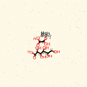 O=C(O)C(=O)O.O=C(O)C(O)C(O)C(O)C(O)CO.[MgH2].[MgH2]